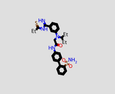 CCC(=S)NC(=N)c1cccc(N(CC(=O)Nc2ccc(-c3ccccc3S(N)(=O)=O)cc2)C(CC)CC)c1